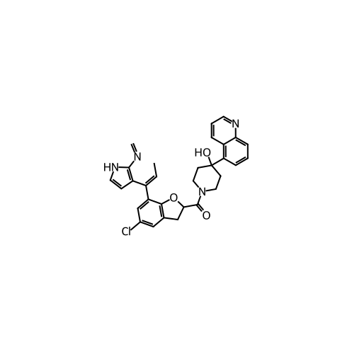 C=Nc1[nH]ccc1/C(=C\C)c1cc(Cl)cc2c1OC(C(=O)N1CCC(O)(c3cccc4ncccc34)CC1)C2